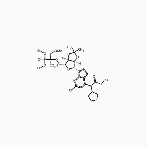 CCOP(=O)(OCC)[C@@](COC)(OC[C@H]1O[C@@H](n2ncc3c(N(C(=O)OC(C)(C)C)C4CCCC4)cc(Cl)nc32)[C@@H]2OC(C)(C)O[C@@H]21)C(=O)O